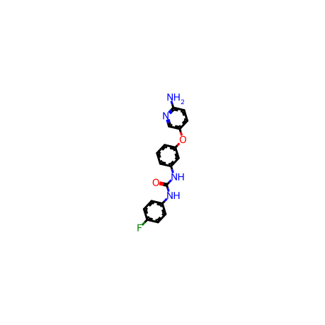 Nc1ccc(Oc2cccc(NC(=O)Nc3ccc(F)cc3)c2)cn1